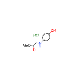 COC(=O)CNc1ccc(O)cc1.Cl